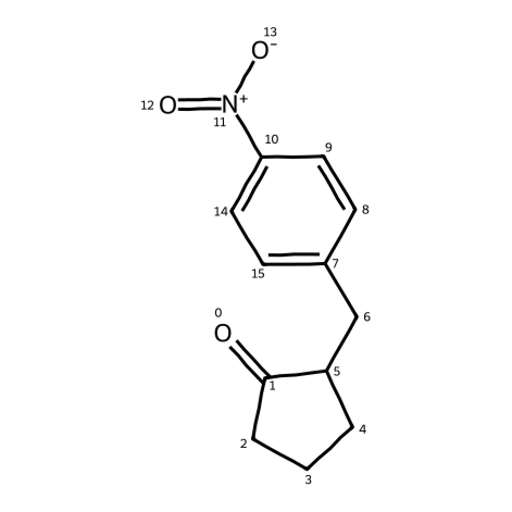 O=C1CCCC1Cc1ccc([N+](=O)[O-])cc1